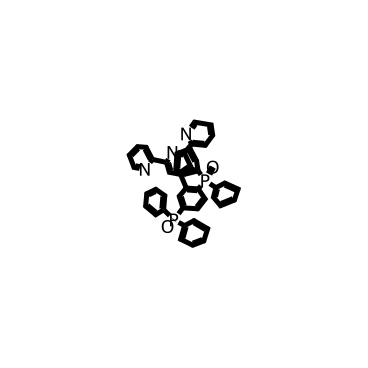 O=P(c1ccccc1)(c1ccccc1)c1ccc(P(=O)(c2ccccc2)c2ccccc2)c(-c2cc(-c3ccccn3)nc(-c3ccccn3)c2)c1